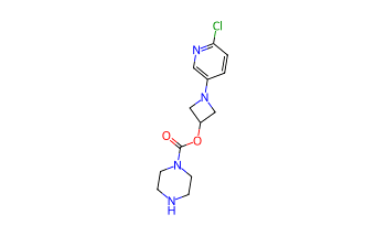 O=C(OC1CN(c2ccc(Cl)nc2)C1)N1CCNCC1